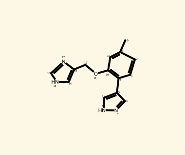 Cc1ccc(-c2cn[nH]c2)c(OCc2c[nH]cn2)c1